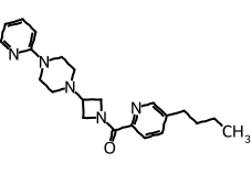 CCCCc1ccc(C(=O)N2CC(N3CCN(c4ccccn4)CC3)C2)nc1